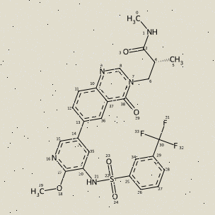 CNC(=O)[C@H](C)Cn1cnc2ccc(-c3cnc(OC)c(NS(=O)(=O)c4cccc(C(F)(F)F)c4)c3)cc2c1=O